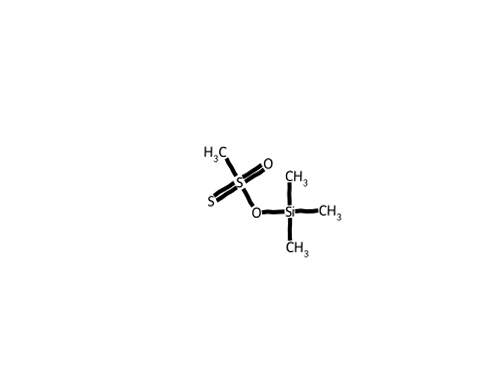 C[Si](C)(C)OS(C)(=O)=S